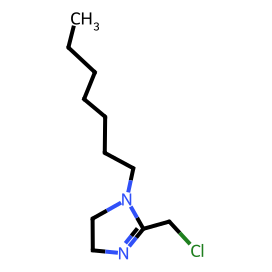 CCCCCCCN1CCN=C1CCl